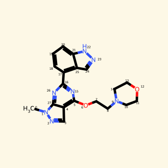 Cn1ncc2c(OCCN3CCOCC3)nc(-c3cccc4[nH]ncc34)nc21